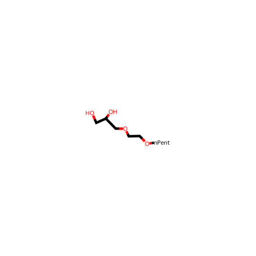 CCCCCOCCOCC(O)CO